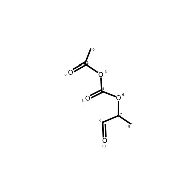 CC(=O)OC(=O)OC(C)C=O